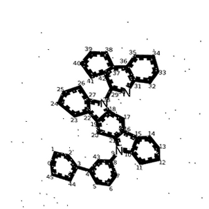 c1ccc(-c2cccc(-n3c4ccccc4c4cc5c(cc43)c3ccccc3n5-c3nc4ccccc4c4ccccc34)c2)cc1